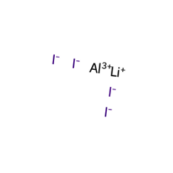 [Al+3].[I-].[I-].[I-].[I-].[Li+]